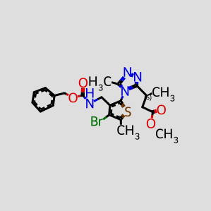 COC(=O)C[C@H](C)c1nnc(C)n1-c1sc(C)c(Br)c1CNC(=O)OCc1ccccc1